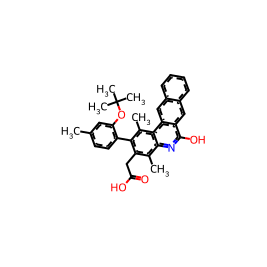 Cc1ccc(-c2c(CC(=O)O)c(C)c3nc(O)c4cc5ccccc5cc4c3c2C)c(OC(C)(C)C)c1